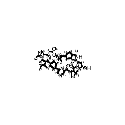 COC(=O)C[C@@H]1N=C(c2ccc(-c3cncc(C(=O)NC(C(=O)N4C[C@H](O)C[C@H]4C(=O)N[C@@H](C)c4ccc(-c5scnc5C)cc4)C(C)(C)C)n3)cc2)c2c(sc(C)c2C)-n2c(C)nnc21